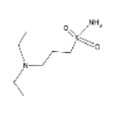 CCN(CC)CCCS(N)(=O)=O